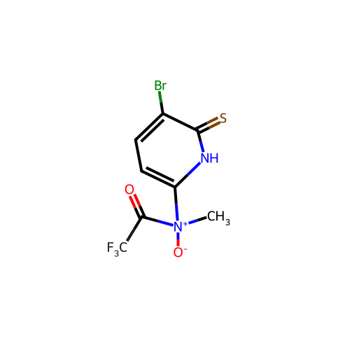 C[N+]([O-])(C(=O)C(F)(F)F)c1ccc(Br)c(=S)[nH]1